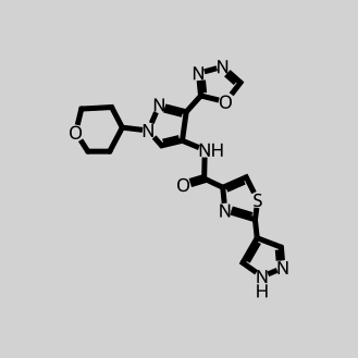 O=C(Nc1cn(C2CCOCC2)nc1-c1nnco1)c1csc(-c2cn[nH]c2)n1